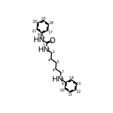 O=C(NCCCCCNc1ccccc1)Nc1ccccc1